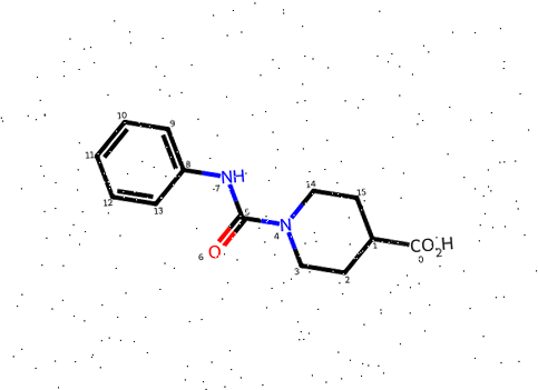 O=C(O)C1CCN(C(=O)Nc2ccccc2)CC1